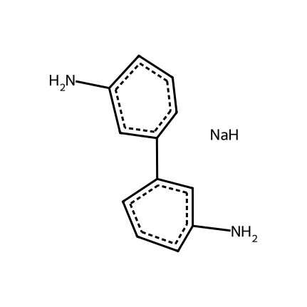 Nc1cccc(-c2cccc(N)c2)c1.[NaH]